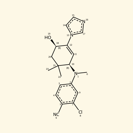 CN(c1ccc(C#N)c(Cl)c1)[C@@H]1C=C(n2ccnc2)[C@H](O)CC1(C)C